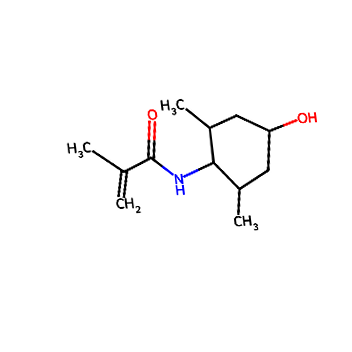 C=C(C)C(=O)NC1C(C)CC(O)CC1C